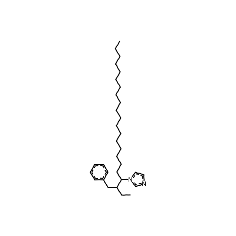 CCCCCCCCCCCCCCCCCCC(C(CC)Cc1ccccc1)n1ccnc1